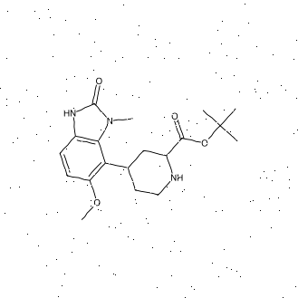 COc1ccc2[nH]c(=O)n(C)c2c1C1CCNC(C(=O)OC(C)(C)C)C1